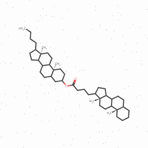 C[C@]12CCCCC1CCC1C2CC[C@]2(C)C(CCCC(=O)OC3CC[C@@]4(C)C(CCC5C4CC[C@]4(C)C(CCCC(=O)O)CCC54)C3)CCC12